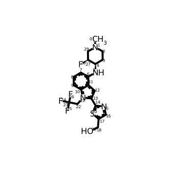 CN1CC[C@@H](Nc2cccc3c2cc(-c2ncc(CO)s2)n3CC(F)(F)F)[C@@H](F)C1